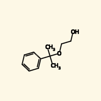 CC(C)(OCCO)c1ccccc1